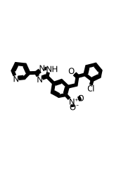 O=C(Cc1cc(-c2nc(-c3cccnc3)n[nH]2)ccc1[N+](=O)[O-])c1ccccc1Cl